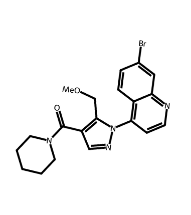 COCc1c(C(=O)N2CCCCC2)cnn1-c1ccnc2cc(Br)ccc12